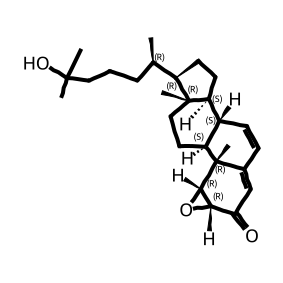 C[C@H](CCCC(C)(C)O)[C@H]1CC[C@H]2[C@@H]3C=CC4=CC(=O)[C@@H]5O[C@@H]5[C@]4(C)[C@H]3CC[C@]12C